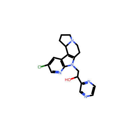 OC(Cn1c2c(c3cc(Cl)cnc31)C1CCCN1CC2)c1cnccn1